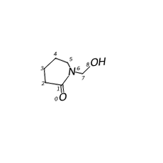 O=C1CCCCN1CO